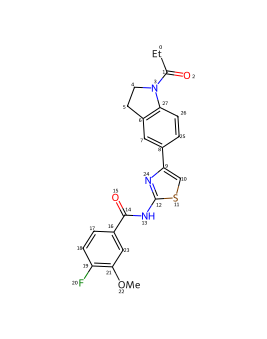 CCC(=O)N1CCc2cc(-c3csc(NC(=O)c4ccc(F)c(OC)c4)n3)ccc21